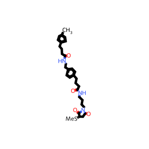 CSC1CC(=O)N(CCCCNC(=O)CCCc2ccc(CCNC(=O)CCCc3ccc(C)cc3)cc2)C1=O